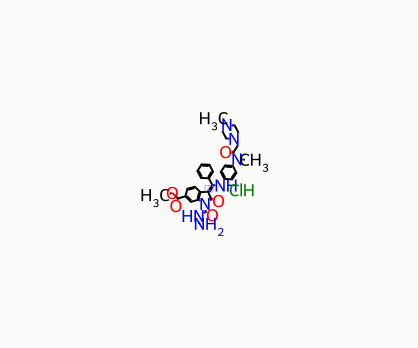 COC(=O)c1ccc2c(c1)N(C(=O)NN)C(=O)/C2=C(\Nc1ccc(N(C)C(=O)CN2CCN(C)CC2)cc1)c1ccccc1.Cl